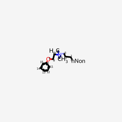 CCCCCCCCCCCC[N+](C)(C)CCOc1ccccc1